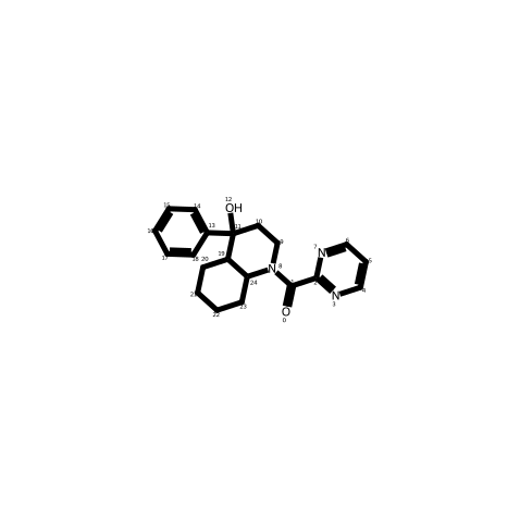 O=C(c1ncccn1)N1CCC(O)(c2ccccc2)C2CCCCC21